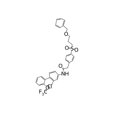 O=C(Cc1ccc(S(=O)(=O)CCCOCc2ccccc2)cc1)Nc1ccc(-c2ccccc2OC(F)(F)F)c(Cl)c1